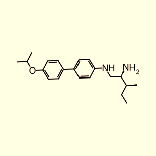 CC[C@H](C)[C@H](N)CNc1ccc(-c2ccc(OC(C)C)cc2)cc1